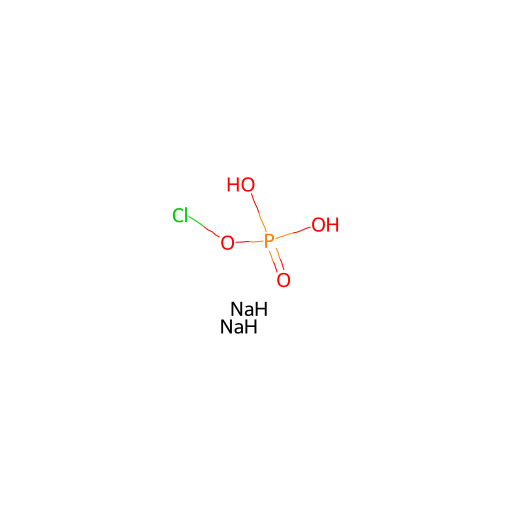 O=P(O)(O)OCl.[NaH].[NaH]